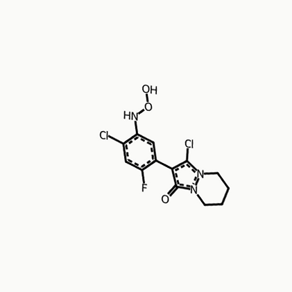 O=c1c(-c2cc(NOO)c(Cl)cc2F)c(Cl)n2n1CCCC2